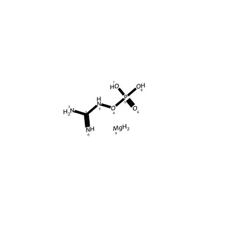 N=C(N)NOP(=O)(O)O.[MgH2]